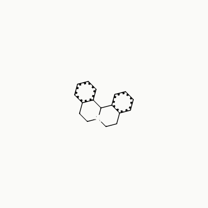 c1ccc2c(c1)CCN1CCc3ccccc3C21